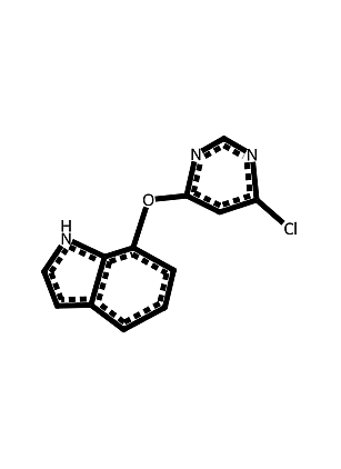 Clc1cc(Oc2cccc3cc[nH]c23)ncn1